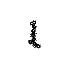 c1cc2c3c(cccc3c1)-c1cc(-c3ccc4c(c3)oc3cc(-c5ccc6c(c5)c5ccccc5c5cc7sc8ccccc8c7cc65)ccc34)ccc1-2